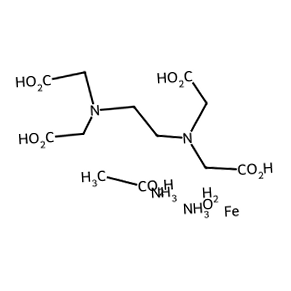 CC(=O)O.N.N.O.O=C(O)CN(CCN(CC(=O)O)CC(=O)O)CC(=O)O.[Fe]